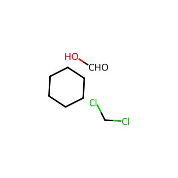 C1CCCCC1.ClCCl.O=CO